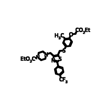 CCOC(=O)COc1ccc(SCc2sc(-c3ccc(C(F)(F)F)cc3)nc2CN2CCN(C(=O)OCC)CC2)cc1C